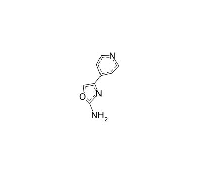 Nc1nc(-c2ccncc2)co1